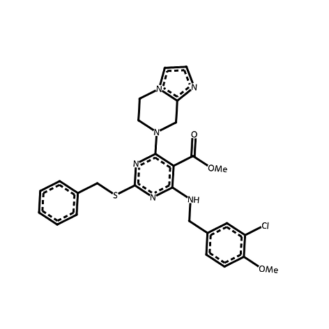 COC(=O)c1c(NCc2ccc(OC)c(Cl)c2)nc(SCc2ccccc2)nc1N1CCn2ccnc2C1